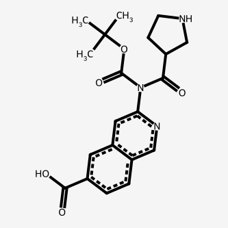 CC(C)(C)OC(=O)N(C(=O)C1CCNC1)c1cc2cc(C(=O)O)ccc2cn1